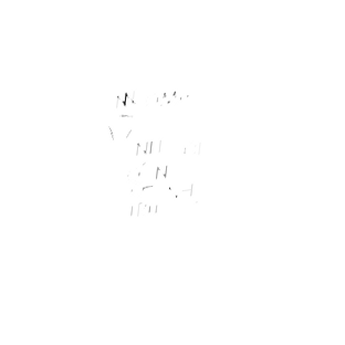 COc1nn(C)c2ccc([C@H](C)NC(=O)[C@@H]3C[C@@H](O)CN3C(=O)[C@@H](N)C(C)(C)C)cc12